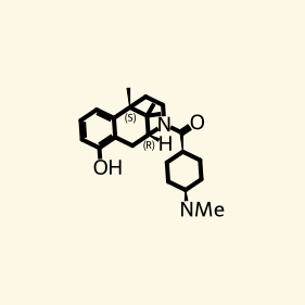 CN[C@H]1CC[C@@H](C(=O)N2CC[C@@]3(C)c4cccc(O)c4C[C@@H]2C3(C)C)CC1